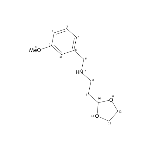 COc1cccc(CNCCC2OCCO2)c1